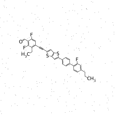 CCCc1ccc(-c2ccc(-c3cc4sc(C#Cc5cc(F)c(C=O)c(F)c5CC)cc4s3)cc2)c(F)c1